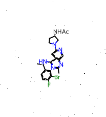 CC(=O)N[C@@H]1CCN(c2cc3c(N[C@H](C)c4ccc(F)c(Br)c4)nc(C)nc3cn2)C1